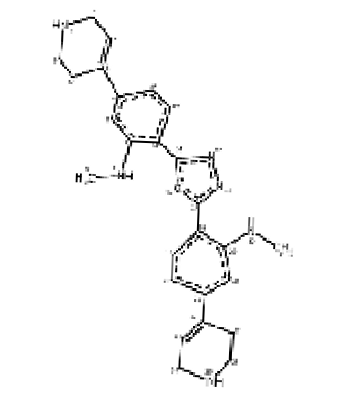 CNc1cc(C2=CCNCC2)ccc1-c1nnc(-c2ccc(C3=CCNCC3)cc2NC)o1